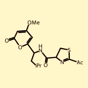 COc1cc(C(CC(C)C)NC(=O)C2CSC(C(C)=O)=N2)oc(=O)c1